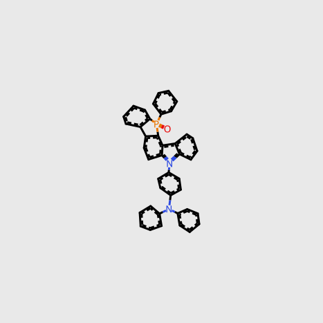 O=P1(c2ccccc2)c2ccccc2-c2ccc3c(c21)c1ccccc1n3-c1ccc(N(c2ccccc2)c2ccccc2)cc1